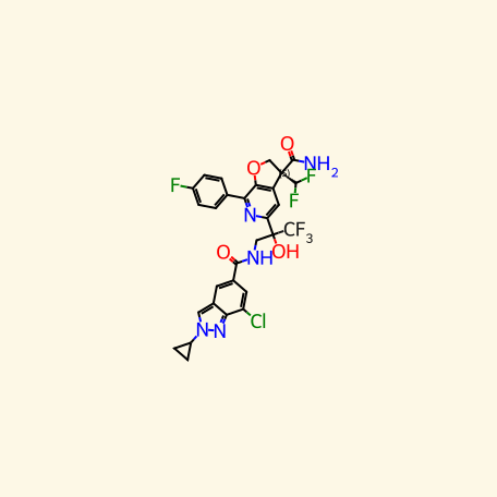 NC(=O)[C@@]1(C(F)F)COc2c1cc(C(O)(CNC(=O)c1cc(Cl)c3nn(C4CC4)cc3c1)C(F)(F)F)nc2-c1ccc(F)cc1